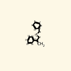 C=C(CSCc1ccccc1)c1ccccc1